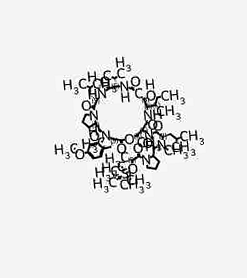 CC[C@H](C)[C@H]1NC(=O)[C@@H](NC(=O)[C@@H](CC(C)C)N(C)C(=O)C2CCCN2C(=O)[C@@H](C)O[Si](C)(C)C(C)(C)C)[C@@H](C)OC(=O)[C@H](Cc2ccc(OC)cc2)N(C)C(=O)[C@@H]2CCCN2C(=O)[C@H](CC(C)C)NC(=O)[C@H](C(C)C)NC(=O)C[C@@H]1O